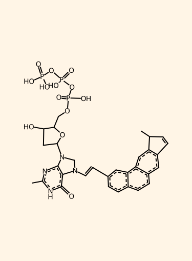 Cc1nc2c(c(=O)[nH]1)N(/C=C/c1ccc3ccc4cc5c(cc4c3c1)C(C)C=C5)CN2C1CC(O)C(COP(=O)(O)OP(=O)(O)OP(=O)(O)O)O1